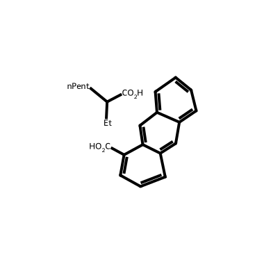 CCCCCC(CC)C(=O)O.O=C(O)c1cccc2cc3ccccc3cc12